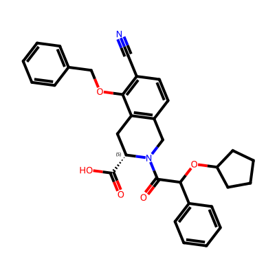 N#Cc1ccc2c(c1OCc1ccccc1)C[C@@H](C(=O)O)N(C(=O)C(OC1CCCC1)c1ccccc1)C2